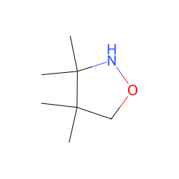 CC1(C)CONC1(C)C